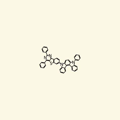 c1ccc(-c2nc(-c3ccccc3)c3sc4cc(-n5c6ccccc6c6c7c8ccccc8n(-c8ccccc8)c7ccc65)ccc4c3n2)cc1